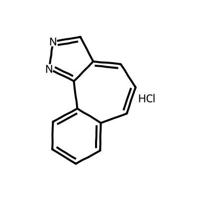 Cl.c1ccc2c3nncc-3cccc2c1